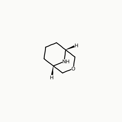 C1C[C@@H]2COC[C@H](C1)N2